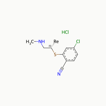 CNC[C@H]([Re])Sc1cc(Cl)ccc1C#N.Cl